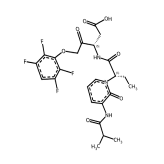 CC[C@@H](C(=O)N[C@@H](CC(=O)O)C(=O)COc1c(F)c(F)cc(F)c1F)n1cccc(NC(=O)C(C)C)c1=O